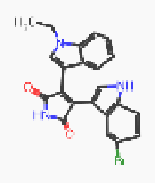 CCn1cc(C2=C(c3c[nH]c4ccc(Br)cc34)C(=O)NC2=O)c2ccccc21